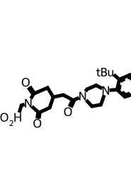 CC(C)(C)c1ccccc1N1CCN(C(=O)CC2CC(=O)N(CC(=O)O)C(=O)C2)CC1